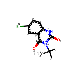 CC(C)(C(=O)O)n1c(=O)[nH]c2ccc(Br)cc2c1=O